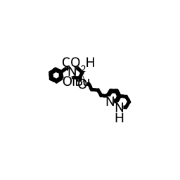 CC(C)COc1ccccc1C(C(=O)O)N1CC[C@@H](OCCCCc2ccc3c(n2)NCCC3)C1